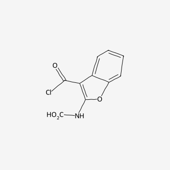 O=C(O)Nc1oc2ccccc2c1C(=O)Cl